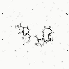 CC(C)(C)c1ccc(C(=O)CC(C(=O)O)c2c[nH]c3ccccc23)cc1